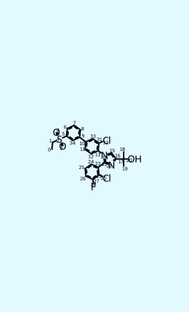 CCS(=O)(=O)c1cccc(-c2ccc(-n3cc(C(C)(C)O)nc3-c3cccc(F)c3Cl)c(Cl)c2)c1